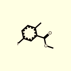 COC(=O)c1cc(I)ccc1C